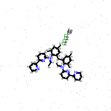 CC=[N+](c1cccc(-c2ccccn2)n1)c1c(C)cc(C)cc1Cc1cc(C)cc(C)c1[N+](=CC)c1cccc(-c2ccccn2)n1.[Cl-].[Cl-].[Cl-].[Cl-].[Fe].[Fe]